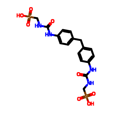 O=C(NCS(=O)(=O)O)Nc1ccc(Cc2ccc(NC(=O)NCS(=O)(=O)O)cc2)cc1